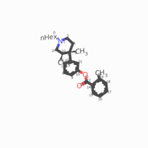 CCCCCCN1CC[C@](C)(c2cccc(OC(=O)c3ccccc3C)c2)[C@@H](C)C1